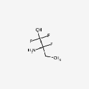 CCC(N)(F)C(O)(F)F